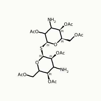 CC(=O)OCC1O[C@@H](S[C@@H]2O[C@H](COC(C)=O)[C@H](OC(C)=O)C(N)C2OC(C)=O)[C@@H](OC(C)=O)C(N)[C@H]1OC(C)=O